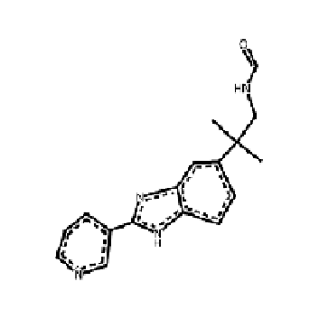 CC(C)(CNC=O)c1ccc2[nH]c(-c3cccnc3)nc2c1